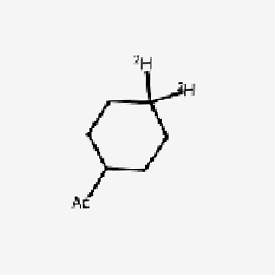 [2H]C1([2H])CCC(C(C)=O)CC1